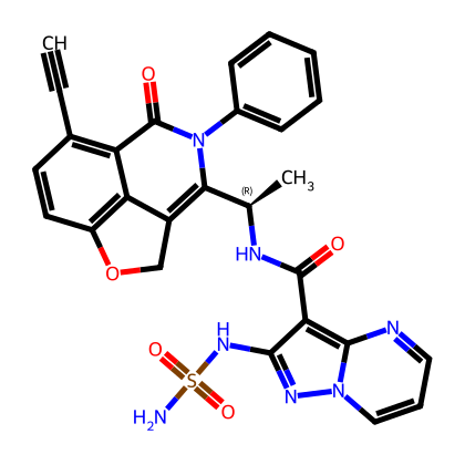 C#Cc1ccc2c3c(c([C@@H](C)NC(=O)c4c(NS(N)(=O)=O)nn5cccnc45)n(-c4ccccc4)c(=O)c13)CO2